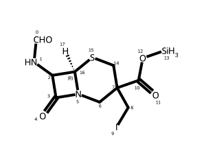 O=CNC1C(=O)N2CC(CI)(C(=O)O[SiH3])CS[C@H]12